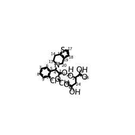 COC(=O)C(c1ccccc1Cl)N1CCc2sccc2C1.O=C(O)CC(O)C(=O)O